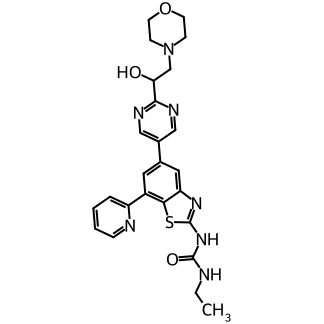 CCNC(=O)Nc1nc2cc(-c3cnc(C(O)CN4CCOCC4)nc3)cc(-c3ccccn3)c2s1